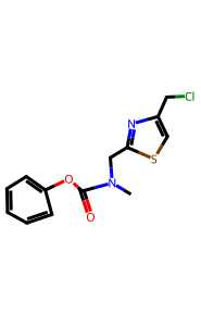 CN(Cc1nc(CCl)cs1)C(=O)Oc1ccccc1